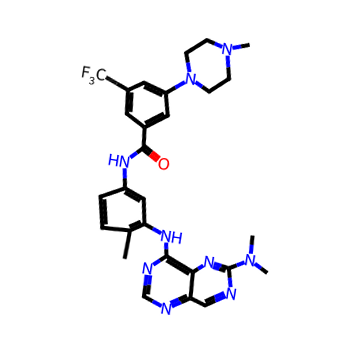 Cc1ccc(NC(=O)c2cc(N3CCN(C)CC3)cc(C(F)(F)F)c2)cc1Nc1ncnc2cnc(N(C)C)nc12